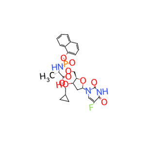 C[C@H](NP(=O)(OC[C@H]1O[C@@H](n2cc(F)c(=O)[nH]c2=O)CC1O)Oc1cccc2ccccc12)C(=O)OCC1CC1